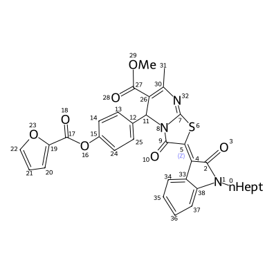 CCCCCCCN1C(=O)/C(=c2\sc3n(c2=O)C(c2ccc(OC(=O)c4ccco4)cc2)C(C(=O)OC)=C(C)N=3)c2ccccc21